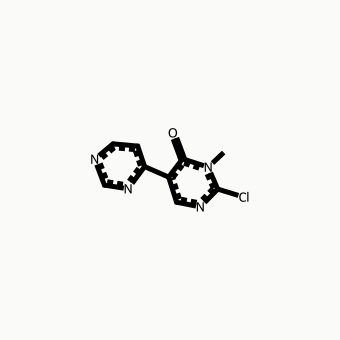 Cn1c(Cl)ncc(-c2ccncn2)c1=O